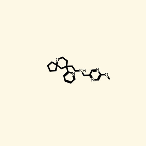 COc1cnc(CNCCC2(c3ccccn3)CCOC3(CCCC3)C2)cn1